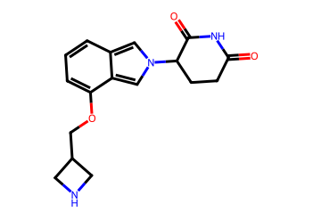 O=C1CCC(n2cc3cccc(OCC4CNC4)c3c2)C(=O)N1